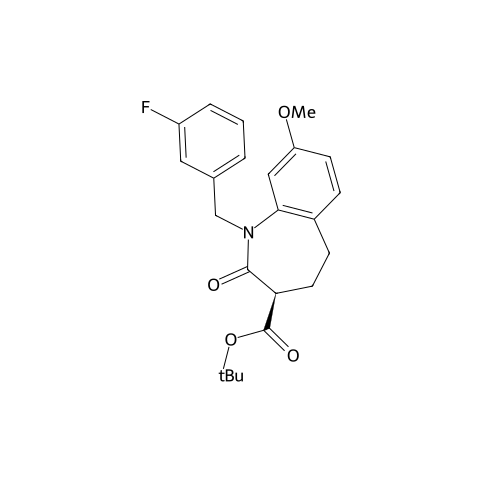 COc1ccc2c(c1)N(Cc1cccc(F)c1)C(=O)[C@H](C(=O)OC(C)(C)C)CC2